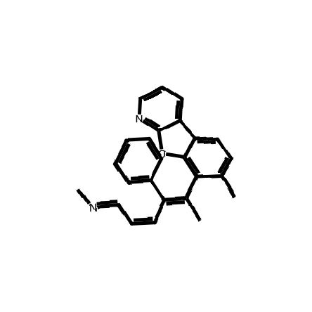 C/N=C/C=C\C(=C(/C)c1c(C)ccc2c1oc1ncccc12)c1ccccc1